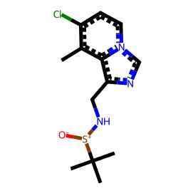 Cc1c(Cl)ccn2cnc(CN[S+]([O-])C(C)(C)C)c12